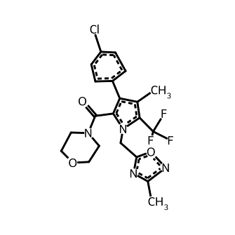 Cc1noc(Cn2c(C(=O)N3CCOCC3)c(-c3ccc(Cl)cc3)c(C)c2C(F)(F)F)n1